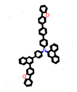 c1ccc2c(-c3ccc4c(c3)oc3ccccc34)cc(-c3ccc(N(c4ccc(-c5ccc(-c6ccc7c(c6)oc6ccccc67)cc5)cc4)c4cc5ccccc5c5ccccc45)cc3)cc2c1